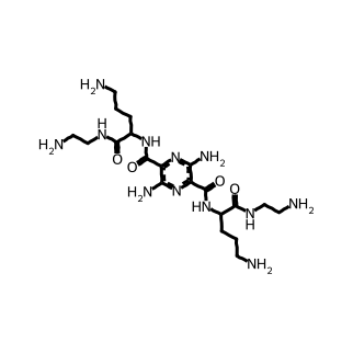 NCCCC(NC(=O)c1nc(N)c(C(=O)NC(CCCN)C(=O)NCCN)nc1N)C(=O)NCCN